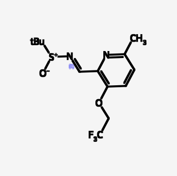 Cc1ccc(OCC(F)(F)F)c(/C=N/[S+]([O-])C(C)(C)C)n1